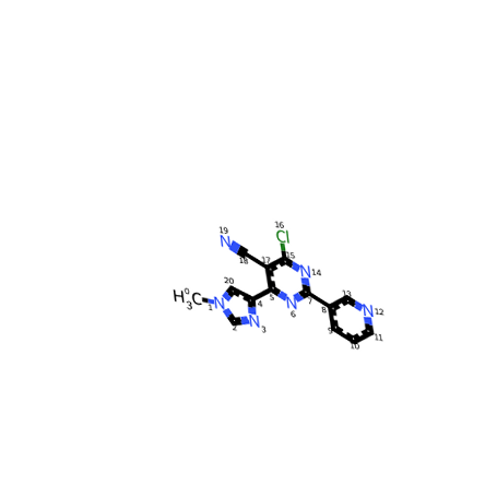 Cn1cnc(-c2nc(-c3cccnc3)nc(Cl)c2C#N)c1